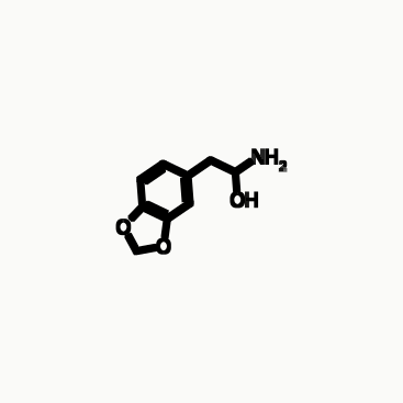 NC(O)Cc1ccc2c(c1)OCO2